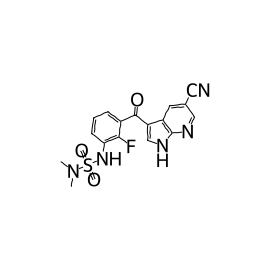 CN(C)S(=O)(=O)Nc1cccc(C(=O)c2c[nH]c3ncc(C#N)cc23)c1F